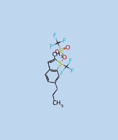 CCCc1ccc2c(c1)S(OS(=O)(=O)C(F)(F)F)(C(F)(F)F)C(C)=C2